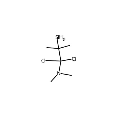 CN(C)C(Cl)(Cl)C(C)(C)[SiH3]